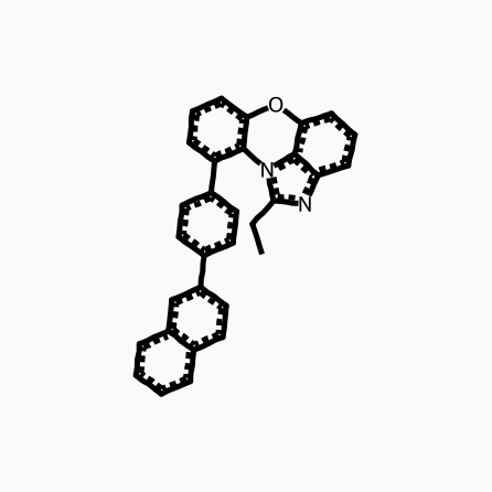 CCc1nc2cccc3c2n1-c1c(cccc1-c1ccc(-c2ccc4ccccc4c2)cc1)O3